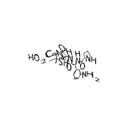 CC1(C)S[C@@H]2C(NC(=O)C(NC(=O)C3CCCN3)c3cccc(N)c3)C(=O)N2[C@H]1C(=O)O